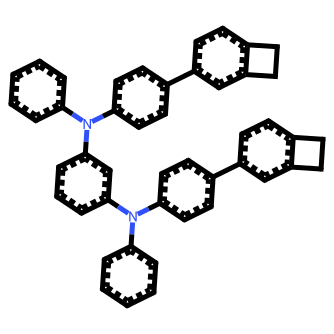 c1ccc(N(c2ccc(-c3ccc4c(c3)CC4)cc2)c2cccc(N(c3ccccc3)c3ccc(-c4ccc5c(c4)CC5)cc3)c2)cc1